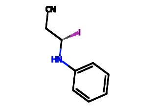 N#CC[C@H](I)Nc1ccccc1